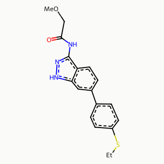 CCSc1ccc(-c2ccc3c(NC(=O)COC)n[nH]c3c2)cc1